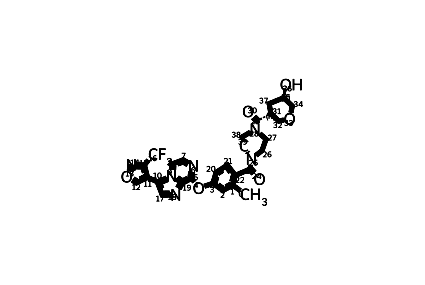 Cc1cc(Oc2nccn3c(-c4conc4C(F)(F)F)cnc23)ccc1C(=O)N1CCN(C(=O)[C@H]2COC[C@H](O)C2)CC1